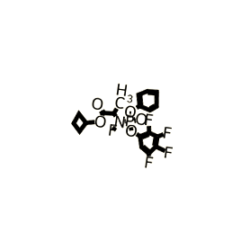 CC(C(=O)OC1CCC1)N(F)[P@](=O)(Oc1ccccc1)Oc1cc(F)c(F)c(F)c1F